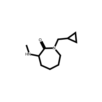 CNC1CCCCN(CC2CC2)C1=O